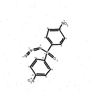 [N-]=[N+]=NP(=O)(c1ccc([N+](=O)[O-])cc1)c1ccc([N+](=O)[O-])cc1